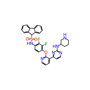 O=S(=O)(Nc1ccc(Oc2ncccc2-c2ccnc(NC3CCCNC3)n2)c(F)c1F)C1c2ccccc2-c2ccccc21